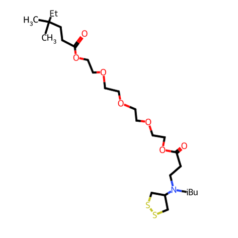 CCC(C)N(CCC(=O)OCCOCCOCCOCCOC(=O)CCC(C)(C)CC)C1CSSC1